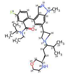 CCN(C(=O)c1cc(F)ccc1-c1cc(C2CN(C(CC[C@@H]3COCCN3)C(C)C)C2)cc2c1cnn2C)C(C)C